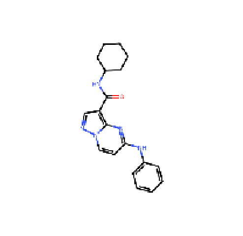 O=C(NC1CCCCC1)c1cnn2ccc(Nc3ccccc3)nc12